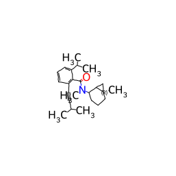 CC(C)C#Cc1cccc(C(C)C)c1C(=O)N(C)C1CCC[C@]2(C)CC12